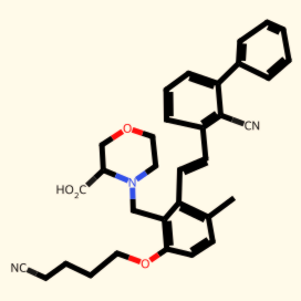 Cc1ccc(OCCCCC#N)c(CN2CCOCC2C(=O)O)c1C=Cc1cccc(-c2ccccc2)c1C#N